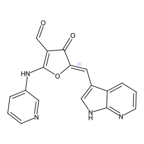 O=CC1=C(Nc2cccnc2)O/C(=C\c2c[nH]c3ncccc23)C1=O